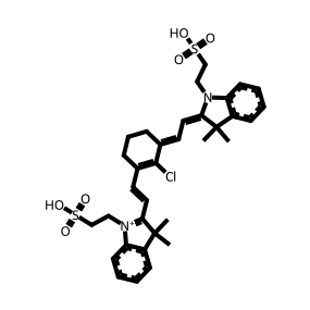 CC1(C)C(/C=C/C2=C(Cl)C(=C/C=C3/N(CCS(=O)(=O)O)c4ccccc4C3(C)C)/CCC2)=[N+](CCS(=O)(=O)O)c2ccccc21